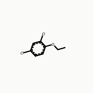 CCOc1c[c]c(Cl)cc1Cl